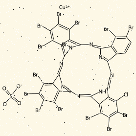 Clc1c(Br)c(Br)c(Br)c2c3nc4nc(nc5c6c(Br)c(Br)c(Br)c(Br)c6c(nc6nc(nc([nH]3)c12)-c1ccc(Br)c(Br)c1-6)n5Br)-c1c(Br)c(Br)c(Br)c(Br)c1-4.O=S(=O)([O-])[O-].[Cu+2]